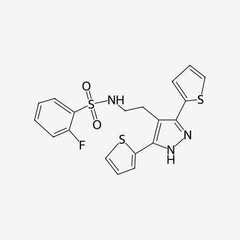 O=S(=O)(NCCc1c(-c2cccs2)n[nH]c1-c1cccs1)c1ccccc1F